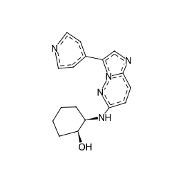 O[C@H]1CCCC[C@H]1Nc1ccc2ncc(-c3ccncc3)n2n1